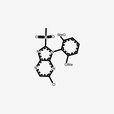 COc1cccc(OC)c1-n1c(S(C)(=O)=O)nc2ncc(Cl)nc21